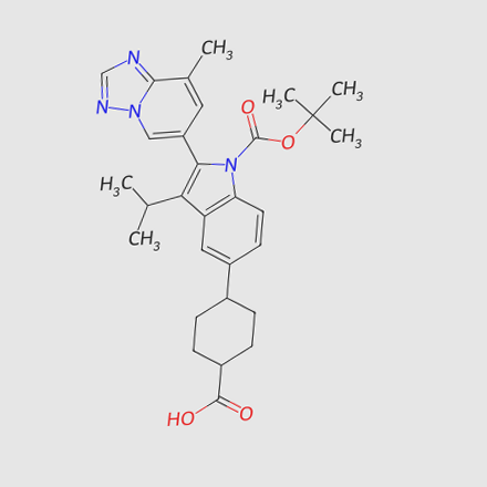 Cc1cc(-c2c(C(C)C)c3cc(C4CCC(C(=O)O)CC4)ccc3n2C(=O)OC(C)(C)C)cn2ncnc12